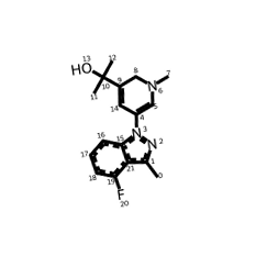 Cc1nn(C2=CN(C)CC(C(C)(C)O)=C2)c2cccc(F)c12